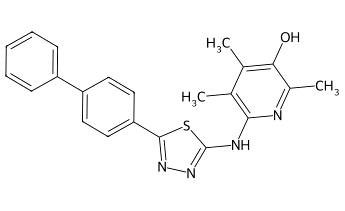 Cc1nc(Nc2nnc(-c3ccc(-c4ccccc4)cc3)s2)c(C)c(C)c1O